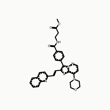 COC(=O)CCNC(=O)c1ccc(-c2c(/C=C/c3ccc4ccccc4n3)nc3c(N4CCOCC4)ccnn23)cc1